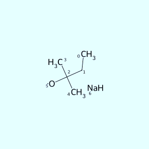 CCC(C)(C)[O].[NaH]